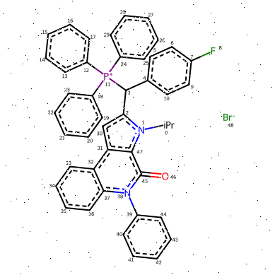 CC(C)n1c(C(c2ccc(F)cc2)[P+](c2ccccc2)(c2ccccc2)c2ccccc2)cc2c3ccccc3n(-c3ccccc3)c(=O)c21.[Br-]